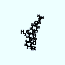 CCc1cccc2c1OCC(=O)N2C[C@H](C)CN1CCC(OCC2CC2)CC1